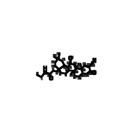 CCNC(=O)CCC12CCC3C(C(=O)C=C4C5(C)C=C(C#N)C(=O)CC5CCC43C)C1CC(C)(C)CC2